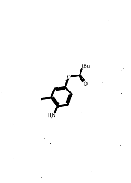 Cc1cc(OC(=O)C(C)(C)C)ccc1N